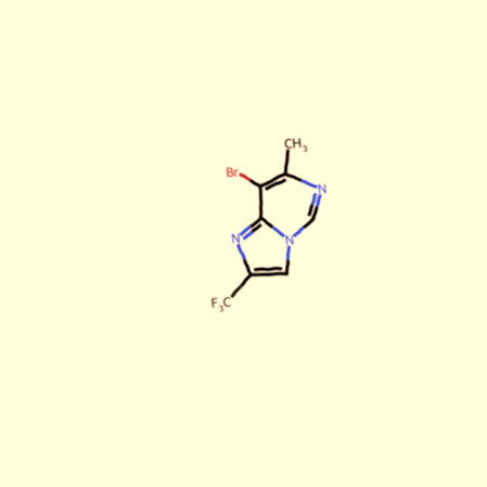 Cc1ncn2cc(C(F)(F)F)nc2c1Br